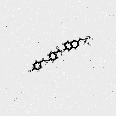 CN(C)CC1CCc2cc(NC(=O)c3ccc(OCc4ccc(F)cc4)cc3)ccc2C1